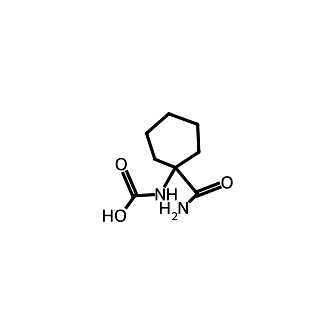 NC(=O)C1(NC(=O)O)CCCCC1